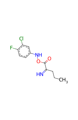 CCCC(=N)C(=O)ONc1ccc(F)c(Cl)c1